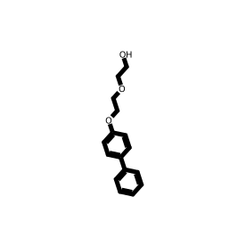 OCCOCCOc1ccc(-c2ccccc2)cc1